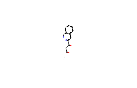 COC(=O)CC(=O)c1cc2ccccc2cn1